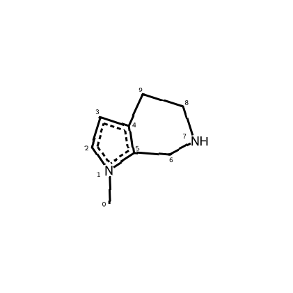 Cn1ccc2c1CNCC2